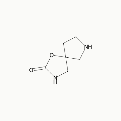 O=C1NCC2(CCNC2)O1